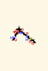 COC1(CCCNC(C)=O)OCC(C)(C)[C@H](C(=O)NCCC(=O)NCCSC(=O)CC(C)=O)O1